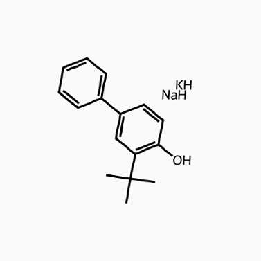 CC(C)(C)c1cc(-c2ccccc2)ccc1O.[KH].[NaH]